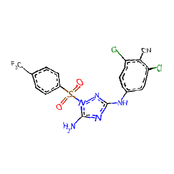 N#Cc1c(Cl)cc(Nc2nc(N)n(S(=O)(=O)c3ccc(C(F)(F)F)cc3)n2)cc1Cl